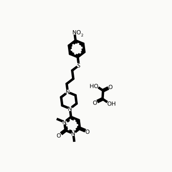 Cn1c(N2CCN(CCCSc3ccc([N+](=O)[O-])cc3)CC2)cc(=O)n(C)c1=O.O=C(O)C(=O)O